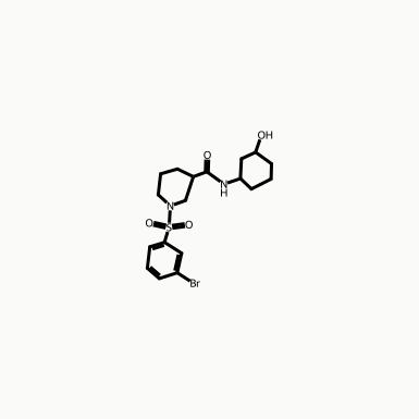 O=C(NC1CCCC(O)C1)C1CCCN(S(=O)(=O)c2cccc(Br)c2)C1